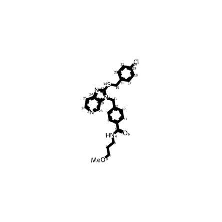 COCCCNC(=O)c1ccc(Cn2c(SCc3ccc(Cl)cc3)nc3ccncc32)cc1